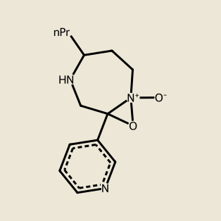 CCCC1CC[N+]2([O-])OC2(c2cccnc2)CN1